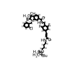 CC1(C)C(=O)N(Cc2c(F)cccc2Cl)c2cc(C(=O)NCc3c(F)cc(C#CC(=O)NCCCCO[Si](C)(C)C(C)(C)C)cc3F)ccc21